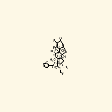 C[C@@H]1C[C@H]2[C@@H]3CCC4=CC(=O)C(F)=C(F)[C@]4(C)[C@H]3[C@@H](O)C[C@]2(C)[C@@]1(OC(=O)c1ccco1)C(=O)SCF